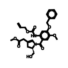 C=CCOC(=O)Nc1cc(OCc2ccccc2)c(OC)cc1C(=O)N1C=C(CC(=O)OC)C[C@H]1CO